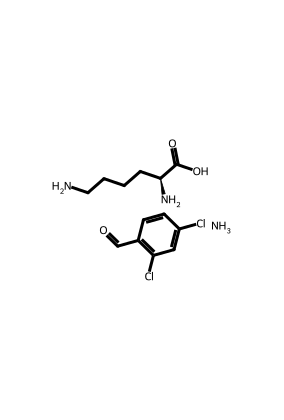 N.NCCCC[C@H](N)C(=O)O.O=Cc1ccc(Cl)cc1Cl